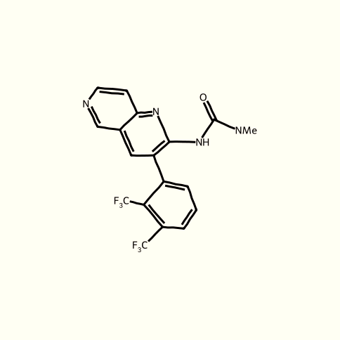 CNC(=O)Nc1nc2ccncc2cc1-c1cccc(C(F)(F)F)c1C(F)(F)F